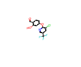 O=Cc1ccc(Oc2ncc(C(F)(F)F)cc2Cl)cc1O